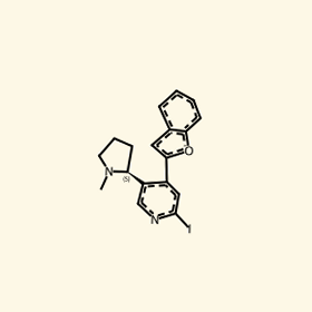 CN1CCC[C@H]1c1cnc(I)cc1-c1cc2ccccc2o1